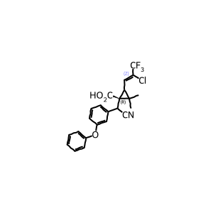 CC1(C)C(/C=C(\Cl)C(F)(F)F)[C@@]1(C(=O)O)C(C#N)c1cccc(Oc2ccccc2)c1